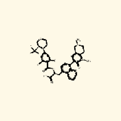 CN1CCc2c(cc(-c3ccc(C[C@H](NC(=O)c4c(F)cc(N5CCOC[C@@H]5C(F)(F)F)cc4F)C(=O)O)c4cccnc34)c(=O)n2C)C1